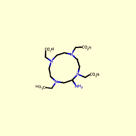 NC1CN(CC(=O)O)CCN(CC(=O)O)CCN(CC(=O)O)CCN1CC(=O)O